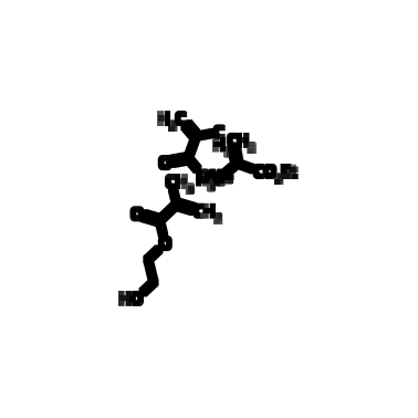 C=C(C)C(=O)OC.C=C(C)C(=O)OCC.C=C(C)C(=O)OCCO